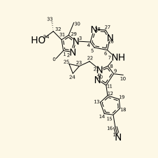 Cc1nn(-c2cc(Nc3c(C)c(-c4ccc(C#N)cc4)nn3CC3CC3)ncn2)c(C)c1[C@@H](C)O